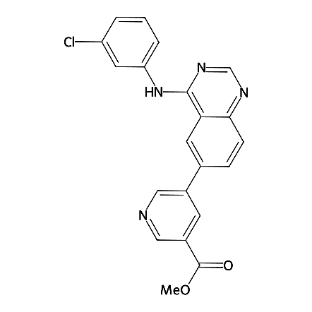 COC(=O)c1cncc(-c2ccc3ncnc(Nc4cccc(Cl)c4)c3c2)c1